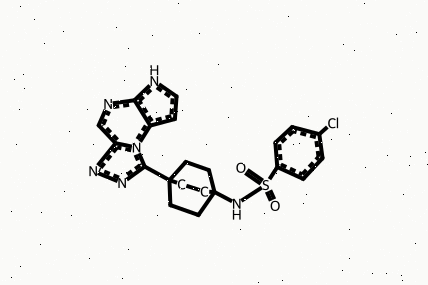 O=S(=O)(NC12CCC(c3nnc4cnc5[nH]ccc5n34)(CC1)CC2)c1ccc(Cl)cc1